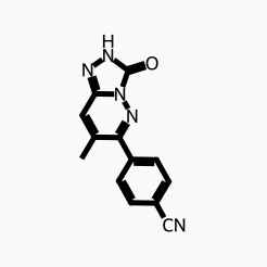 Cc1cc2n[nH]c(=O)n2nc1-c1ccc(C#N)cc1